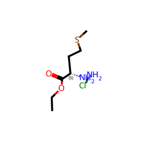 CCOC(=O)[C@@H](N)CCSC.NCl